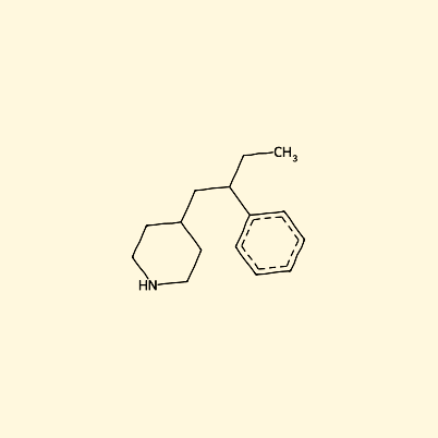 CCC(CC1CCNCC1)c1ccccc1